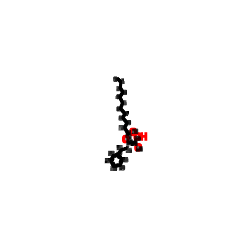 CCCCCCCCCCCC(=O)O[C@@H](CCc1ccccc1)C(=O)O